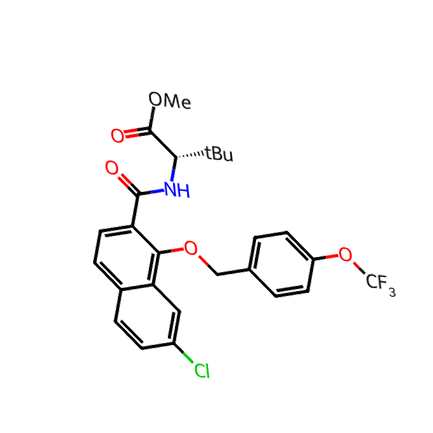 COC(=O)[C@@H](NC(=O)c1ccc2ccc(Cl)cc2c1OCc1ccc(OC(F)(F)F)cc1)C(C)(C)C